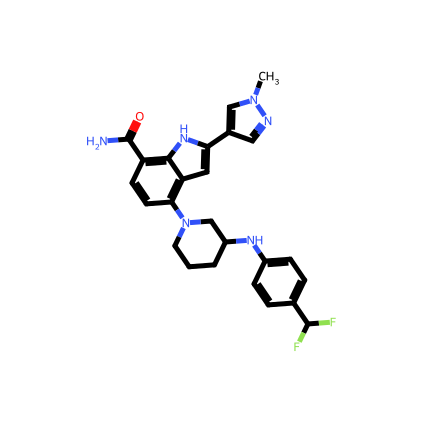 Cn1cc(-c2cc3c(N4CCCC(Nc5ccc(C(F)F)cc5)C4)ccc(C(N)=O)c3[nH]2)cn1